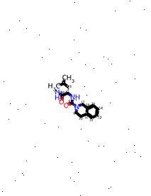 CC(C)C[C@H](NC(=O)N1CCc2ccccc2C1)C([NH])=O